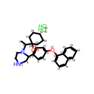 CC(N1CCNCC1c1ccc(Oc2cccc3ccccc23)cc1)C1(O)CCCCC1.Cl.Cl